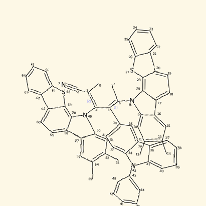 C/C(C#N)=C(\C(=C(/C)n1c2cc(C)c(C)cc2c2ccc3c4ccccc4sc3c21)c1ccc2c(c1)c1ccccc1n2-c1ccccc1)n1c2cc(C)c(C)cc2c2ccc3c4ccccc4sc3c21